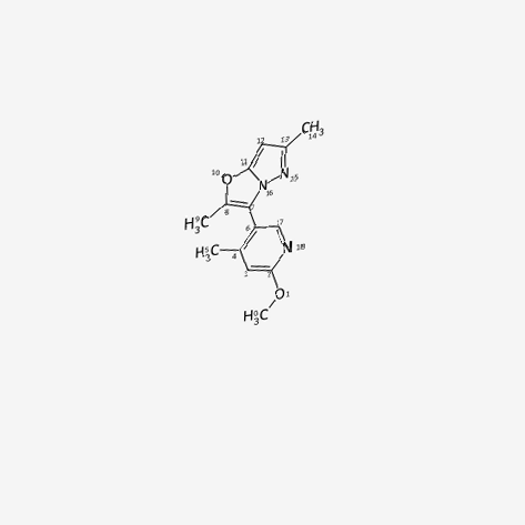 COc1cc(C)c(-c2c(C)oc3cc(C)nn23)cn1